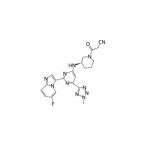 Cn1nnc(-c2cc(N[C@@H]3CCCN(C(=O)CC#N)C3)nc(-c3cnc4ccc(F)cn34)n2)n1